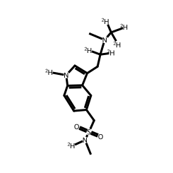 [2H]N(C)S(=O)(=O)Cc1ccc2c(c1)c(CC([2H])([2H])N(C)C([2H])([2H])[2H])cn2[2H]